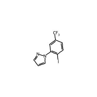 FC(F)(F)c1ccc(I)c(-n2cccn2)c1